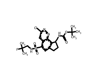 CC(C)(F)CNS(=O)(=O)c1cc2c(c3nnc(Cl)cc13)C(NC(=O)OC(C)(C)C)CC2